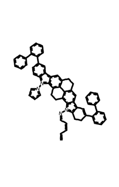 C=C/C=C\C=N/n1c2c(c3cc4c5c(c31)CCc1c-5c(cc3c5cc(-c6ccccc6-c6ccccc6)ccc5n(-n5cccc5)c13)CC4)C=C(c1ccccc1-c1ccccc1)CC2